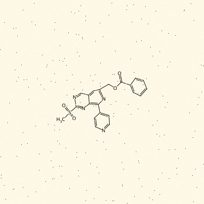 CS(=O)(=O)c1ncc2cc(COC(=O)c3ccccc3)nc(-c3ccncc3)c2n1